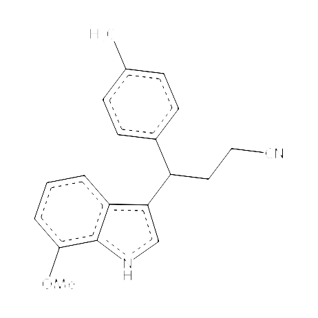 COc1cccc2c(C(CCC#N)c3ccc(C)cc3)c[nH]c12